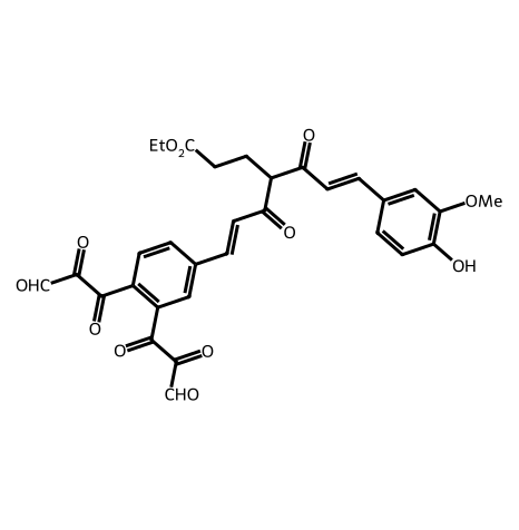 CCOC(=O)CCC(C(=O)/C=C/c1ccc(O)c(OC)c1)C(=O)/C=C/c1ccc(C(=O)C(=O)C=O)c(C(=O)C(=O)C=O)c1